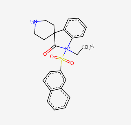 O=C(O)C[N+]1(S(=O)(=O)c2ccc3ccccc3c2)C(=O)C2(CCNCC2)c2ccccc21